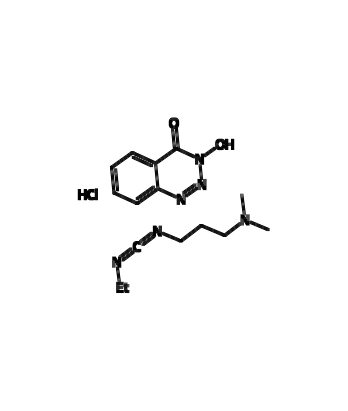 CCN=C=NCCCN(C)C.Cl.O=c1c2ccccc2nnn1O